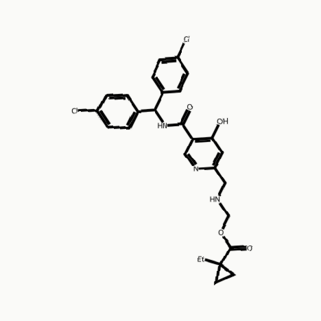 CCC1(C(=O)OCNCc2cc(O)c(C(=O)NC(c3ccc(Cl)cc3)c3ccc(Cl)cc3)cn2)CC1